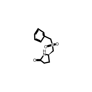 O=C1CC[C@H](CS(=O)(=O)Cc2ccccc2)N1